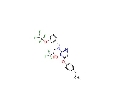 CCc1ccc(Oc2ccnc(N(Cc3cccc(OC(F)(F)C(F)F)c3)CC(O)C(F)(F)F)n2)cc1